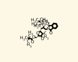 C[C@@H]1C(=O)[C@H](COC(=O)C(C)(C)C)O[C@@H]1CC(CN1C(=O)c2ccccc2C1=O)O[Si](C)(C)C(C)(C)C